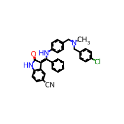 CN(Cc1ccc(Cl)cc1)Cc1ccc(N/C(=C2\C(=O)Nc3ccc(C#N)cc32)c2ccccc2)cc1